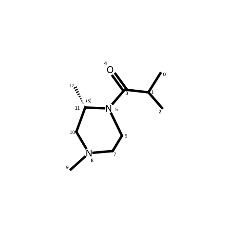 CC(C)C(=O)N1CCN(C)C[C@@H]1C